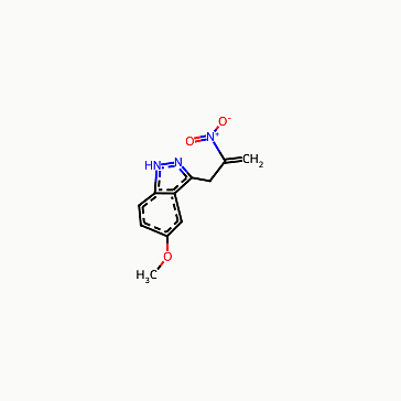 C=C(Cc1n[nH]c2ccc(OC)cc12)[N+](=O)[O-]